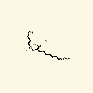 CCCCCCCCCCCCCCCCCC(=O)C[N+](C)(C)CCCO.[Cl-]